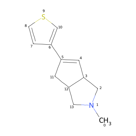 CN1CC2C=C(c3ccsc3)CC2C1